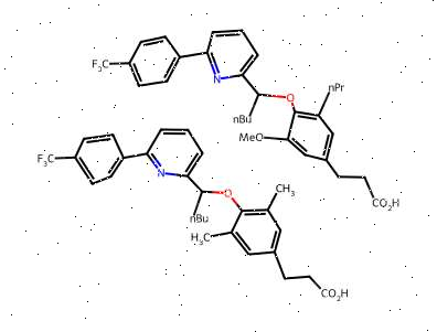 CCCCC(Oc1c(C)cc(CCC(=O)O)cc1C)c1cccc(-c2ccc(C(F)(F)F)cc2)n1.CCCCC(Oc1c(CCC)cc(CCC(=O)O)cc1OC)c1cccc(-c2ccc(C(F)(F)F)cc2)n1